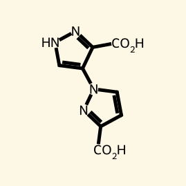 O=C(O)c1ccn(-c2c[nH]nc2C(=O)O)n1